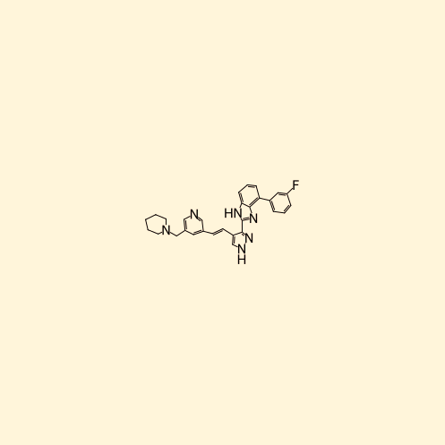 Fc1cccc(-c2cccc3[nH]c(-c4n[nH]cc4/C=C/c4cncc(CN5CCCCC5)c4)nc23)c1